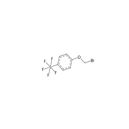 FS(F)(F)(F)(F)c1ccc(OCBr)cc1